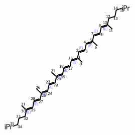 CC(/C=C/C=C(C)/C=C/C=C(\C)CCCC(C)C)=C\C=C\C=C(C)\C=C\C=C(C)\C=C\C=C(/C)CCCC(C)C